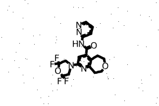 O=C(Nc1cccnn1)c1cc(N2CC(F)(F)OC(F)(F)C2)nc2c1CCOCC2